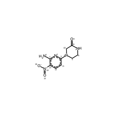 Nc1nc(N2CCNC(=O)C2)ccc1[N+](=O)[O-]